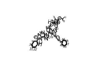 CC(C)OC(=O)C(C)NP1(=O)OCOC2[C@@H](CO1)O[C@@H](n1cnc3c(NC(=O)c4ccccc4)ncnc31)[C@@]2(C)OCOCc1ccccc1